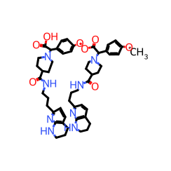 COc1ccc(C(C(=O)OOc2ccc(C(C(=O)O)N3CCC(C(=O)NCCCc4ccc5c(n4)NCCC5)CC3)cc2)N2CCC(C(=O)NCCCc3ccc4c(n3)NCCC4)CC2)cc1